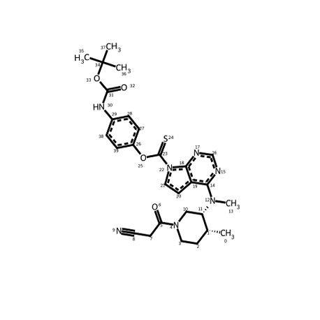 C[C@@H]1CCN(C(=O)CC#N)C[C@@H]1N(C)c1ncnc2c1ccn2C(=S)Oc1ccc(NC(=O)OC(C)(C)C)cc1